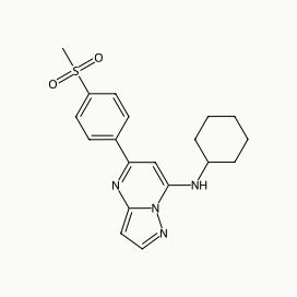 CS(=O)(=O)c1ccc(-c2cc(NC3CCCCC3)n3nccc3n2)cc1